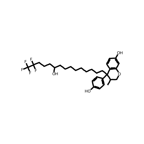 CC1COc2cc(O)ccc2C1(CCCCCCCCCC(O)CCCC(F)(F)C(F)(F)F)c1ccc(O)cc1